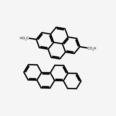 C1=CCc2c3c(ccc2=C1)=C1CCC=CC1=CC3.O=C(O)c1cc2ccc3cc(C(=O)O)cc4ccc(c1)c2c34